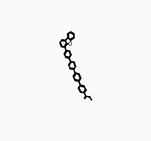 CCC(C)c1ccc(-c2ccc(-c3ccc(-c4ccc(-c5cccc6c5oc5ccccc56)cc4)cc3)cc2)cc1